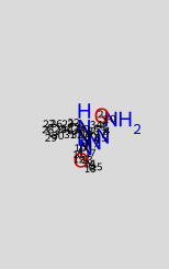 NC(=O)c1cnc2nc(N3CCOC(C4CC4)C3)nc(Nc3ccc(C4CCCCC4)cc3)c2c1